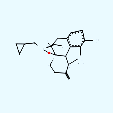 O=C1CC[C@]23OC[N@+]4(CC5CC5)CC[C@@]25c2c(ccc(O)c2O[C@@H]15)C[C@H]34